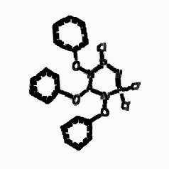 ClP1N=P(Cl)(Cl)N(Oc2ccccc2)P(Oc2ccccc2)N1Oc1ccccc1